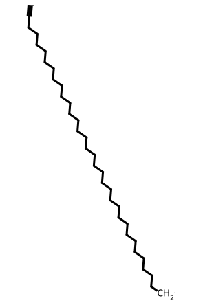 [C]#CCCCCCCCCCCCCCCCCCCCCCCCCCCCCCCC[CH2]